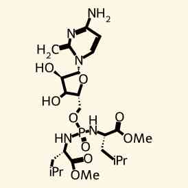 C=C1N=C(N)C=CN1[C@@H]1O[C@H](COP(=O)(N[C@@H](CC(C)C)C(=O)OC)N[C@@H](CC(C)C)C(=O)OC)C(O)[C@H]1O